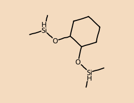 C[SiH](C)OC1CCCCC1O[SiH](C)C